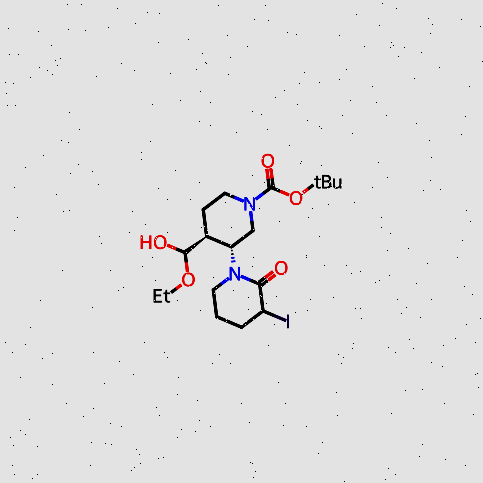 CCOC(O)[C@H]1CCN(C(=O)OC(C)(C)C)C[C@@H]1N1CCCC(I)C1=O